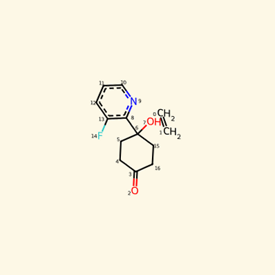 C=C.O=C1CCC(O)(c2ncccc2F)CC1